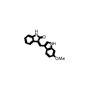 COc1ccc2c(/C=C3\C(=O)Nc4ccccc43)c[nH]c2c1